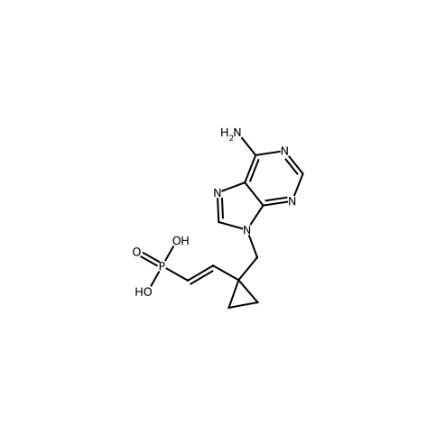 Nc1ncnc2c1ncn2CC1(/C=C/P(=O)(O)O)CC1